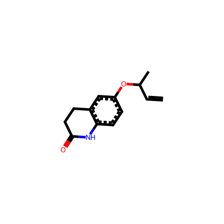 C=CC(C)Oc1ccc2c(c1)CCC(=O)N2